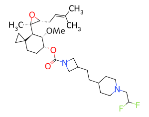 CO[C@@H]1[C@H](OC(=O)N2CC(CCC3CCN(CC(F)F)CC3)C2)CCC2(CC2)[C@H]1[C@@]1(C)O[C@@H]1CC=C(C)C